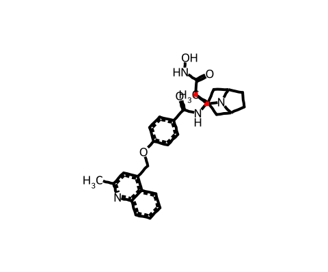 CCN1C2CCC1CC(CC(=O)NO)(NC(=O)c1ccc(OCc3cc(C)nc4ccccc34)cc1)C2